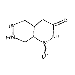 O=C1CC2CNNCC2[S+]([O-])N1